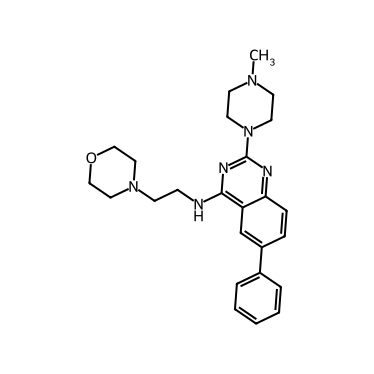 CN1CCN(c2nc(NCCN3CCOCC3)c3cc(-c4ccccc4)ccc3n2)CC1